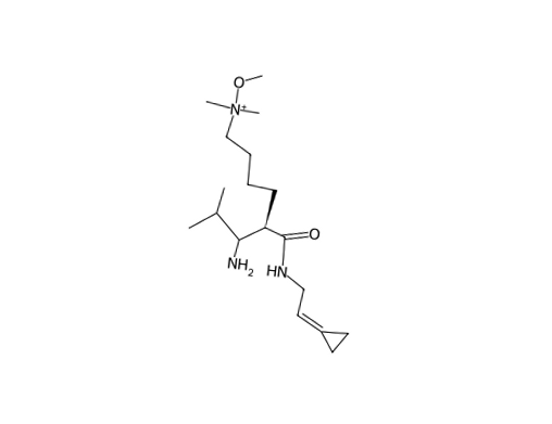 CO[N+](C)(C)CCCC[C@@H](C(=O)NCC=C1CC1)C(N)C(C)C